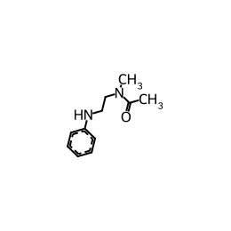 CC(=O)N(C)CCNc1ccccc1